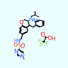 CC(C)CNC1COc2ccc(CNS(=O)(=O)c3cn(C)cn3)cc2C1Cc1ccccc1.O=C(O)C(F)(F)F